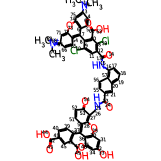 CN(C)c1ccc2c(-c3c(Cl)cc(C(=O)Nc4cccc5cc(C(=O)NCc6c7oc8cc(O)ccc8c(-c8ccc(C(=O)O)cc8C(=O)O)c-7ccc6=O)ccc45)c(Cl)c3C(=O)O)c3ccc(=[N+](C)C)cc-3oc2c1